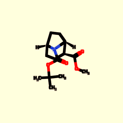 COC(=O)[C@H]1CC[C@H]2CC[C@@H]1N2C(=O)OC(C)(C)C